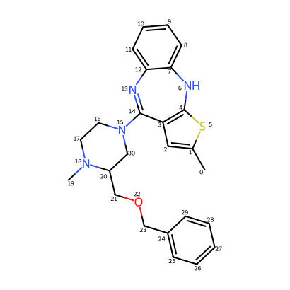 Cc1cc2c(s1)Nc1ccccc1N=C2N1CCN(C)C(COCc2ccccc2)C1